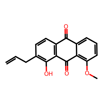 C=CCc1ccc2c(c1O)C(=O)c1c(OC)cccc1C2=O